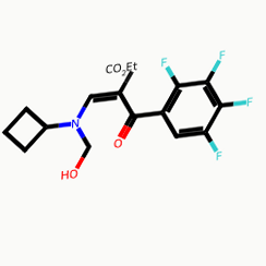 CCOC(=O)/C(=C/N(CO)C1CCC1)C(=O)c1cc(F)c(F)c(F)c1F